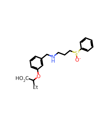 CCC(Oc1cccc(CNCCC[S+]([O-])c2ccccc2)c1)C(=O)O